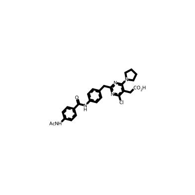 CC(=O)Nc1ccc(C(=O)Nc2ccc(Cc3nc(Cl)c(CC(=O)O)c(N4CCCC4)n3)cc2)cc1